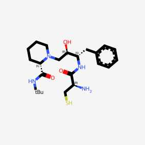 CC(C)(C)NC(=O)[C@@H]1CCCCN1C[C@@H](O)[C@H](Cc1ccccc1)NC(=O)[C@@H](N)CS